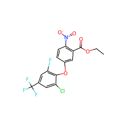 CCOC(=O)c1cc(Oc2c(F)cc(C(F)(F)F)cc2Cl)ccc1[N+](=O)[O-]